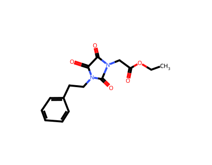 CCOC(=O)CN1C(=O)C(=O)N(CCc2ccccc2)C1=O